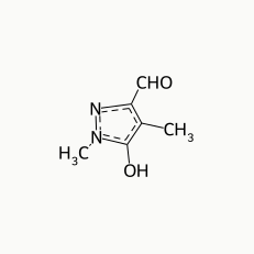 Cc1c(C=O)nn(C)c1O